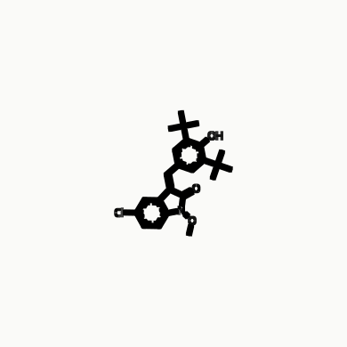 CON1C(=O)C(=Cc2cc(C(C)(C)C)c(O)c(C(C)(C)C)c2)c2cc(Cl)ccc21